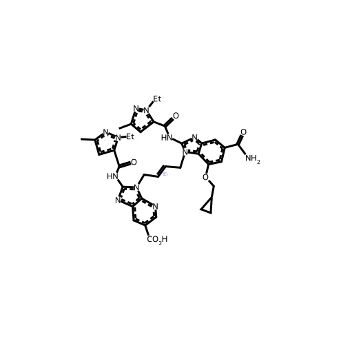 CCn1nc(C)cc1C(=O)Nc1nc2cc(C(=O)O)cnc2n1C/C=C/Cn1c(NC(=O)c2cc(C)nn2CC)nc2cc(C(N)=O)cc(OCC3CC3)c21